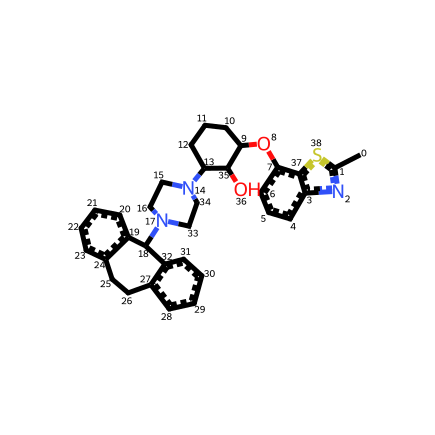 Cc1nc2cccc(OC3CCCC(N4CCN(C5c6ccccc6CCc6ccccc65)CC4)C3O)c2s1